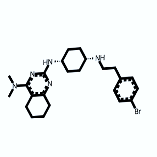 CN(C)c1nc(N[C@H]2CC[C@@H](NCCc3ccc(Br)cc3)CC2)nc2c1CCCC2